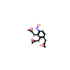 O=Nc1ccc(CC2CO2)c(CC2CO2)c1CC1CO1